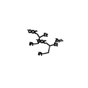 CCC(CC(C)C)C(=O)[O-].CCC(CC(C)C)C(=O)[O-].[Zn+2]